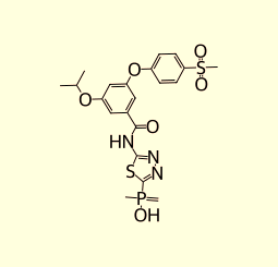 C=P(C)(O)c1nnc(NC(=O)c2cc(Oc3ccc(S(C)(=O)=O)cc3)cc(OC(C)C)c2)s1